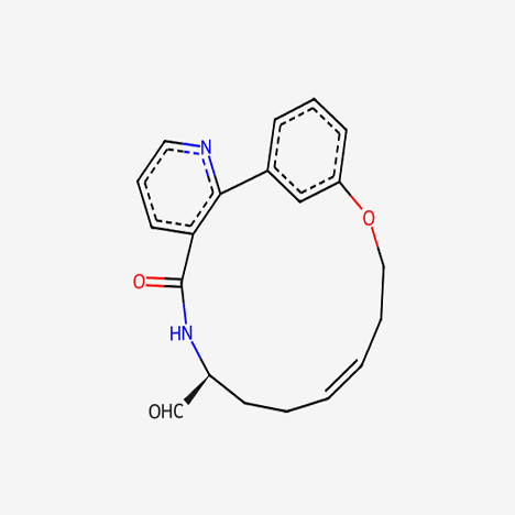 O=C[C@@H]1CC/C=C\CCOc2cccc(c2)-c2ncccc2C(=O)N1